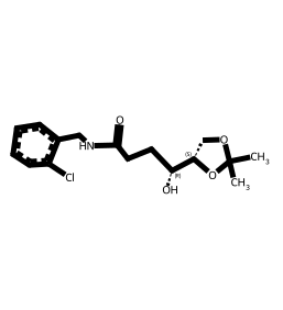 CC1(C)OC[C@@H]([C@H](O)CCC(=O)NCc2ccccc2Cl)O1